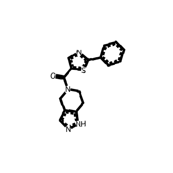 O=C(c1cnc(-c2ccccc2)s1)N1CCc2[nH]ncc2C1